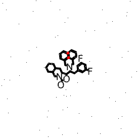 O=C1OC(C(Cc2cc(F)cc(F)c2)N(Cc2ccccc2)Cc2ccccc2)C2CC3CCCCC3CN12